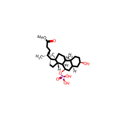 COC(=O)CC[C@@H](C)[C@H]1CC[C@H]2[C@@H]3[C@H](OP(=O)(O)O)C[C@@H]4C[C@H](O)CC[C@]4(C)[C@H]3CC[C@]12C